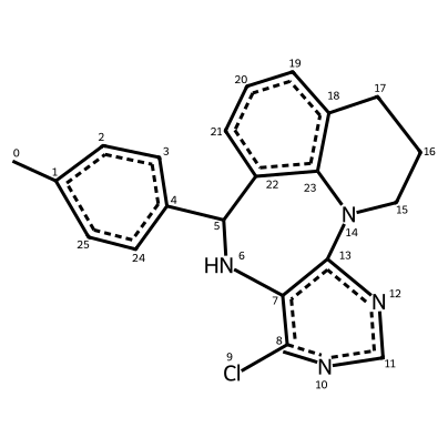 Cc1ccc(C2Nc3c(Cl)ncnc3N3CCCc4cccc2c43)cc1